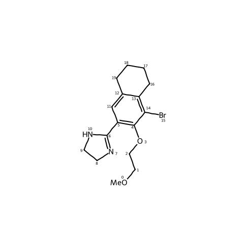 COCCOc1c(C2=NCCN2)cc2c(c1Br)CCCC2